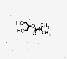 CN(C)C(=O)OC(CO)CO